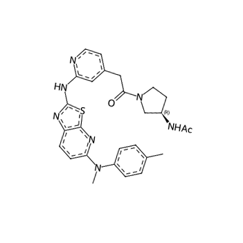 CC(=O)N[C@@H]1CCN(C(=O)Cc2ccnc(Nc3nc4ccc(N(C)c5ccc(C)cc5)nc4s3)c2)C1